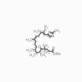 COC(=O)CCC(C)(C)C(=O)[C@H](C)[C@@H](C)[C@@H](C)CCC/C(C)=C\C[C@H](C)/C(C)=C/c1csc(C)n1